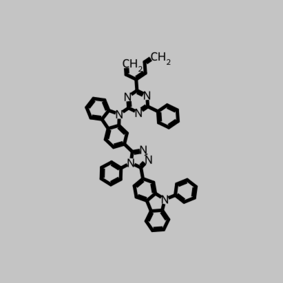 C=C/C=C(\C=C)c1nc(-c2ccccc2)nc(-n2c3ccccc3c3ccc(-c4nnc(-c5ccc6c7ccccc7n(-c7ccccc7)c6c5)n4-c4ccccc4)cc32)n1